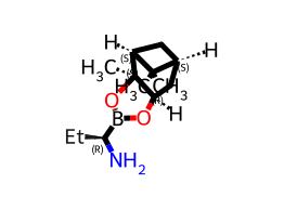 CC[C@H](N)B1O[C@@H]2C[C@@H]3C[C@@H](C3(C)C)[C@]2(C)O1